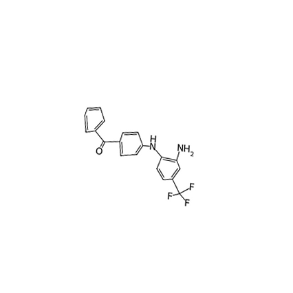 Nc1cc(C(F)(F)F)ccc1Nc1ccc(C(=O)c2ccccc2)cc1